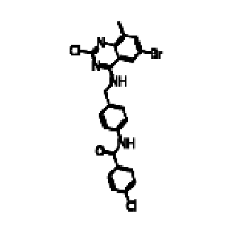 Cc1cc(Br)cc2c(NCc3ccc(NC(=O)c4ccc(Cl)cc4)cc3)nc(Cl)nc12